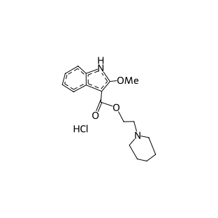 COc1[nH]c2ccccc2c1C(=O)OCCN1CCCCC1.Cl